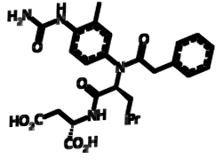 Cc1cc(N(C(=O)Cc2ccccc2)[C@@H](CC(C)C)C(=O)N[C@@H](CC(=O)O)C(=O)O)ccc1NC(N)=O